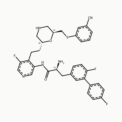 N#Cc1cccc(SC[C@@H]2CNC[C@@H](CCc3c(F)cncc3NC(=O)[C@@H](N)Cc3ccc(F)c(-c4ccc(F)cc4)c3)O2)c1